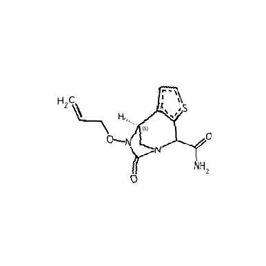 C=CCON1C(=O)N2C[C@@H]1c1ccsc1C2C(N)=O